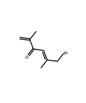 C=C(C)C(=O)C=C(C)CC(C)C